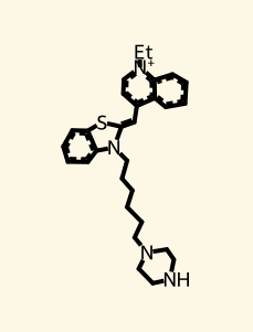 CC[n+]1ccc(/C=C2\Sc3ccccc3N2CCCCCCN2CCNCC2)c2ccccc21